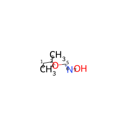 CCC(C)OC=NO